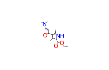 CCOC(=O)c1[nH]c(C)c(C(=O)/C=C/N(C)C)c1C